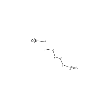 CCCCCCCCCCC[N+](=O)[O-]